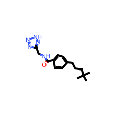 CC(C)(C)CCCc1ccc(C(=O)NCc2nn[nH]n2)cc1